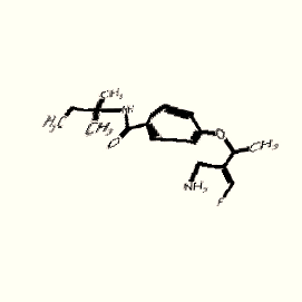 CCC(C)(C)NC(=O)c1ccc(OC(C)/C(=C/F)CN)cc1